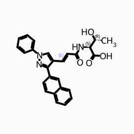 C[C@@H](O)[C@H](NC(=O)/C=C/c1cn(-c2ccccc2)nc1-c1ccc2ccccc2c1)C(=O)O